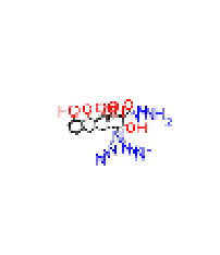 [N-]=[N+]=NCN(CN=[N+]=[N-])[C@@H]1C(O)=C(C(=O)N=NN)C(=O)[C@@]2(O)C(O)=C3C(=O)c4c(O)cccc4CC3CC12